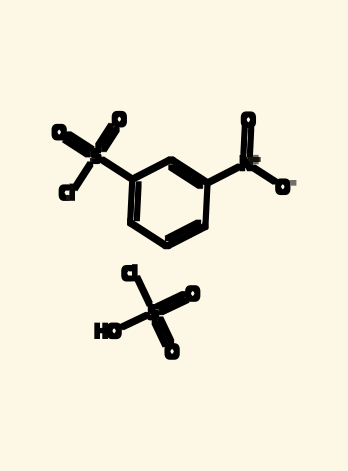 O=S(=O)(O)Cl.O=[N+]([O-])c1cccc(S(=O)(=O)Cl)c1